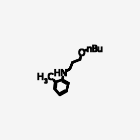 CCCCOCCCNc1ccccc1C